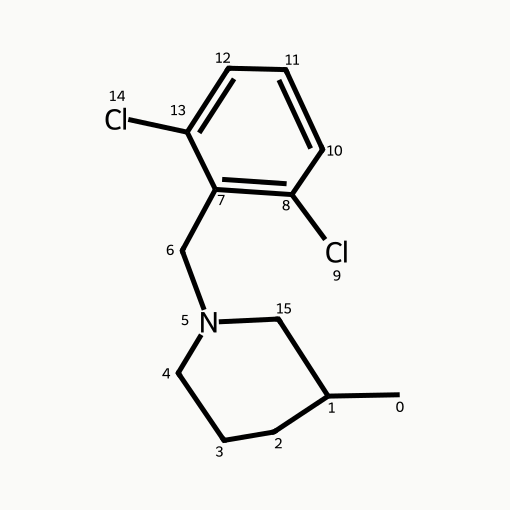 CC1CCCN(Cc2c(Cl)cccc2Cl)C1